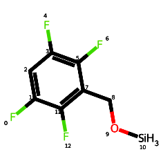 Fc1cc(F)c(F)c(CO[SiH3])c1F